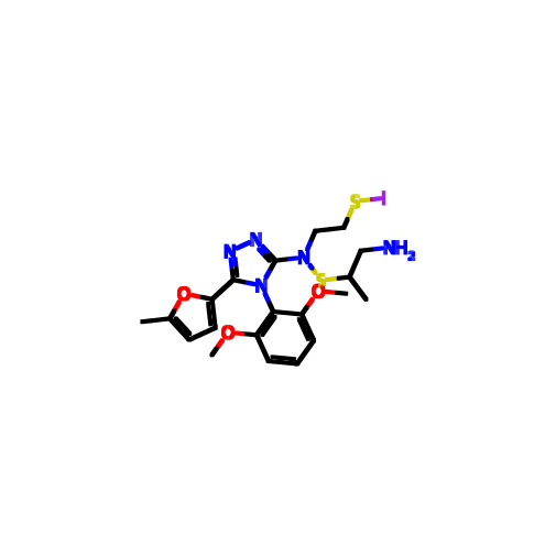 COc1cccc(OC)c1-n1c(-c2ccc(C)o2)nnc1N(CCSI)SC(C)CN